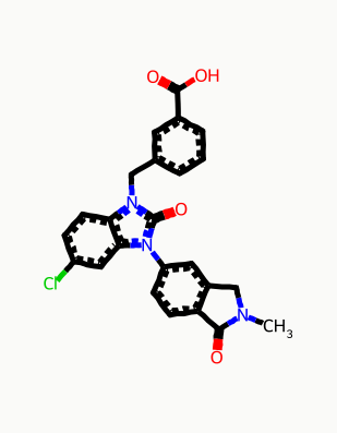 CN1Cc2cc(-n3c(=O)n(Cc4cccc(C(=O)O)c4)c4ccc(Cl)cc43)ccc2C1=O